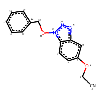 N#CCOc1ccc2c(c1)nnn2OCc1ccccc1